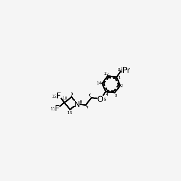 CC(C)c1ccc(OCCN2CC(F)(F)C2)cc1